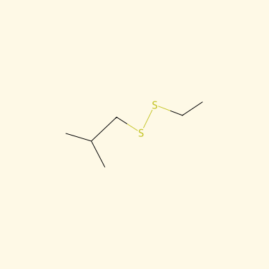 CCSSCC(C)C